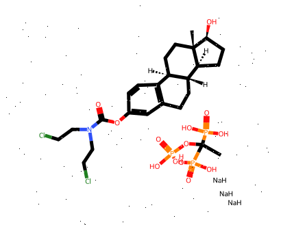 CC(OP(=O)(O)O)(P(=O)(O)O)P(=O)(O)O.C[C@]12CC[C@@H]3c4ccc(OC(=O)N(CCCl)CCCl)cc4CC[C@H]3[C@@H]1CC[C@@H]2O.[NaH].[NaH].[NaH]